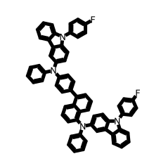 Fc1ccc(-n2c3ccccc3c3cc(N(c4ccccc4)c4ccc(-c5cccc6c(N(c7ccccc7)c7ccc8c(c7)c7ccccc7n8-c7ccc(F)cc7)cccc56)cc4)ccc32)cc1